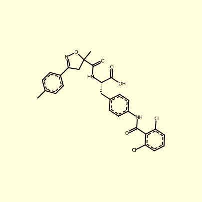 Cc1ccc(C2=NOC(C)(C(=O)N[C@@H](Cc3ccc(NC(=O)c4c(Cl)cccc4Cl)cc3)C(=O)O)C2)cc1